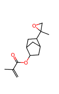 C=C(C)C(=O)OC1CC2CC1CC2C1(C)CO1